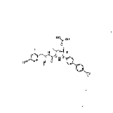 CC(C)[C@H](N[C@@H](c1ccc(-c2ccc(C3CC3)cc2)cc1)C(F)(F)F)C(=O)N[C@H](C#N)Cc1ccc(C#N)cc1F.O=C(O)O